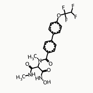 CNC(=O)C(C(=O)NO)N(C)C(=O)c1ccc(-c2ccc(OC(F)(F)C(F)F)cc2)cc1